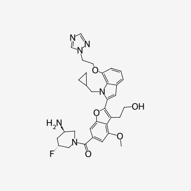 COc1cc(C(=O)N2C[C@H](N)C[C@@H](F)C2)cc2oc(-c3cc4cccc(OCCn5cncn5)c4n3CC3CC3)c(CCO)c12